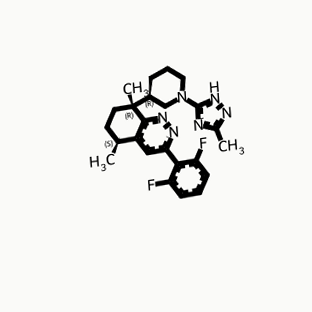 Cc1n[nH]c(N2CCC[C@H]([C@@]3(C)CC[C@H](C)c4cc(-c5c(F)cccc5F)nnc43)C2)n1